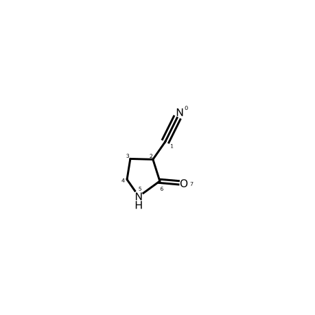 N#CC1CCNC1=O